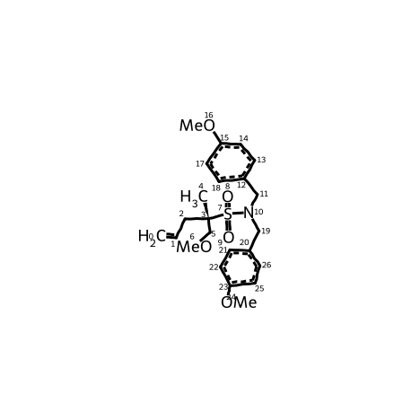 C=CC[C@@](C)(COC)S(=O)(=O)N(Cc1ccc(OC)cc1)Cc1ccc(OC)cc1